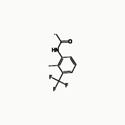 [CH2]C(=O)Nc1cccc(C(F)(F)F)c1C